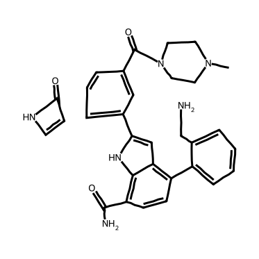 CN1CCN(C(=O)c2cccc(-c3cc4c(-c5ccccc5CN)ccc(C(N)=O)c4[nH]3)c2)CC1.O=C1C=CN1